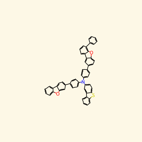 c1ccc(-c2cccc3c2oc2ccc(-c4ccc(N(c5ccc(-c6ccc7c(c6)oc6ccccc67)cc5)c5ccc6sc7ccccc7c6c5)cc4)cc23)cc1